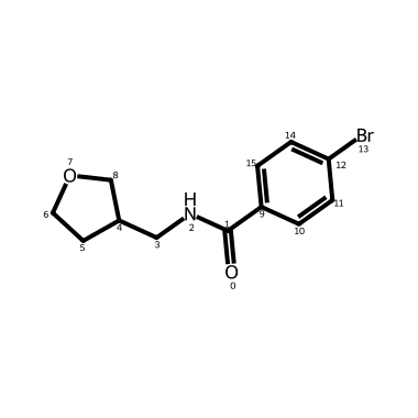 O=C(NCC1CCOC1)c1ccc(Br)cc1